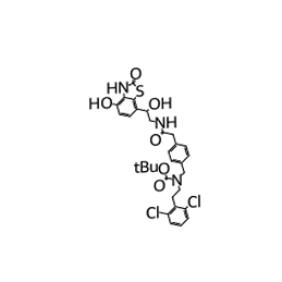 CC(C)(C)OC(=O)N(CCc1c(Cl)cccc1Cl)Cc1ccc(CC(=O)NCC(O)c2ccc(O)c3[nH]c(=O)sc23)cc1